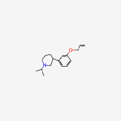 C=CCOc1cccc(C2CCCN(C(C)C)C2)c1